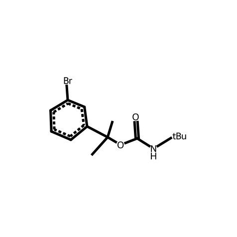 CC(C)(C)NC(=O)OC(C)(C)c1cccc(Br)c1